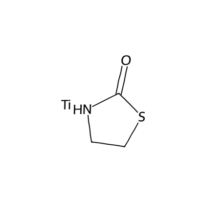 O=C1NCCS1.[Ti]